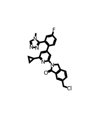 Cn1cnnc1-c1cc(F)ccc1-c1cc(C2CC2)nc(N2Cc3ccc(CCl)cc3C2=O)c1